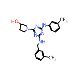 OC1CCN(c2nc(NCc3cccc(C(F)(F)F)c3)nc(Nc3cccc(C(F)(F)F)c3)n2)C1